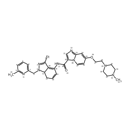 CCC1=NN(Cc2cccc(C)n2)C2CC=CC(NC(=O)c3cnc4cc(OCCN5CCN(C)CC5)ccn34)=C12